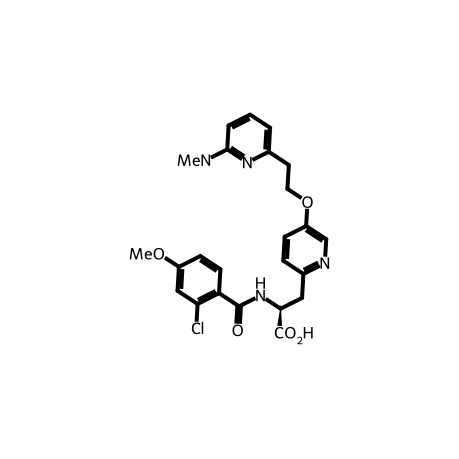 CNc1cccc(CCOc2ccc(C[C@H](NC(=O)c3ccc(OC)cc3Cl)C(=O)O)nc2)n1